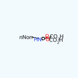 CCCCCCCCC/C=C/CCCNc1ccc(C(=O)OC(CC(=O)O)C(=O)O)cc1